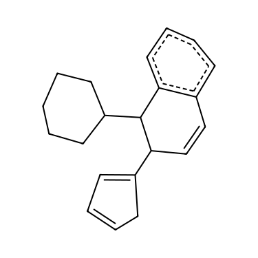 C1=CCC(C2C=Cc3ccccc3C2C2CCCCC2)=C1